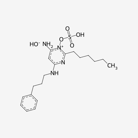 CCCCCCc1nc(NCCCc2ccccc2)cc(N)[n+]1OS(=O)(=O)O.[OH-]